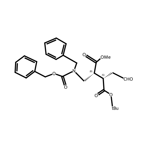 COC(=O)[C@@H](CN(Cc1ccccc1)C(=O)OCc1ccccc1)[C@H](CC=O)C(=O)OC(C)(C)C